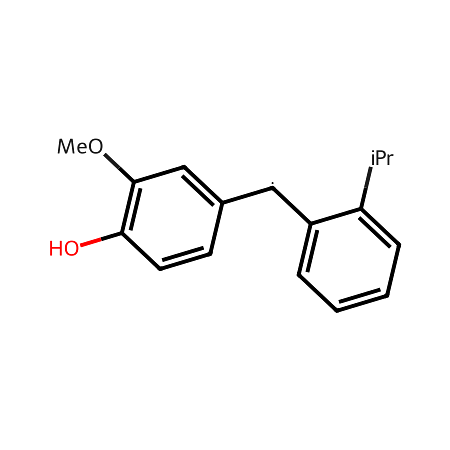 COc1cc([CH]c2ccccc2C(C)C)ccc1O